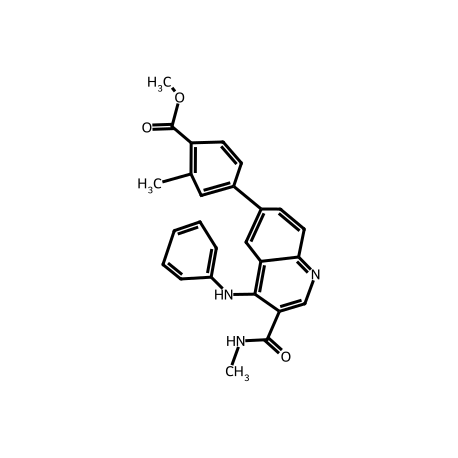 CNC(=O)c1cnc2ccc(-c3ccc(C(=O)OC)c(C)c3)cc2c1Nc1ccccc1